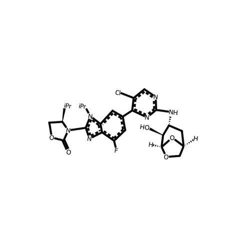 CC(C)[C@@H]1COC(=O)N1c1nc2c(F)cc(-c3nc(N[C@@H]4C[C@H]5CO[C@H](O5)[C@H]4O)ncc3Cl)cc2n1C(C)C